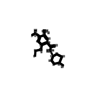 CCOc1cc(NC)c(N)cc1C(=O)N[C@H]1CC[C@H](C)CC1